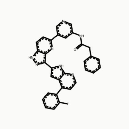 O=C(Cc1ccccc1)Nc1cncc(-c2ccc3[nH]nc(-c4cc5c(-c6ccccc6F)ccnc5[nH]4)c3n2)c1